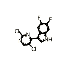 Fc1cc2[nH]cc(-c3nc(Cl)ncc3Cl)c2cc1F